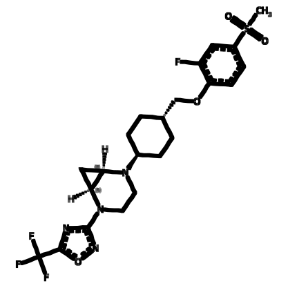 CS(=O)(=O)c1ccc(OC[C@H]2CC[C@H](N3CCN(c4noc(C(F)(F)F)n4)[C@H]4C[C@H]43)CC2)c(F)c1